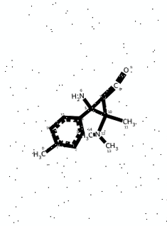 Cc1ccc(C2(N)C(=C=O)C2(C)N(C)C)cc1